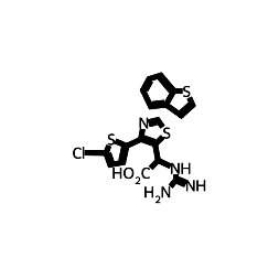 N=C(N)NC(C(=O)O)c1scnc1-c1ccc(Cl)s1.c1ccc2sccc2c1